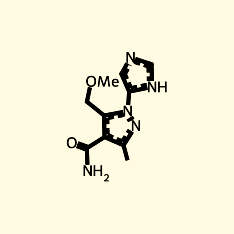 COCc1c(C(N)=O)c(C)nn1-c1cnc[nH]1